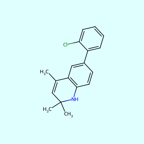 CC1=CC(C)(C)Nc2ccc(-c3ccccc3Cl)cc21